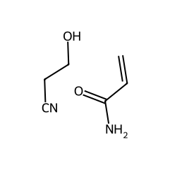 C=CC(N)=O.N#CCCO